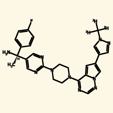 [2H]C([2H])([2H])n1cc(-c2cc3c(N4CCN(c5ncc([C@@](C)(N)c6ccc(F)cc6)cn5)CC4)ncnn3c2)cn1